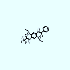 CCOc1cc(NC(=O)C(F)(F)F)c(OCC)cc1NC(=O)c1ccccc1